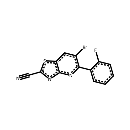 N#Cc1nc2nc(-c3ccccc3F)c(Br)cc2s1